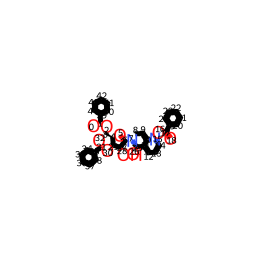 O=C(OC[C@H]1O[C@@H](N2CC=C3C(=CC=CN3OC(=O)c3ccccc3)C2=O)[C@H](O)[C@@H]1OC(=O)c1ccccc1)c1ccccc1